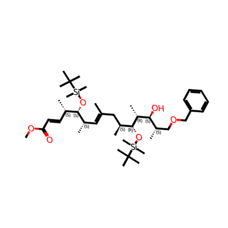 COC(=O)C=C[C@H](C)[C@H](O[Si](C)(C)C(C)(C)C)[C@@H](C)C=C(C)C[C@H](C)[C@@H](O[Si](C)(C)C(C)(C)C)[C@H](C)[C@@H](O)[C@@H](C)COCc1ccccc1